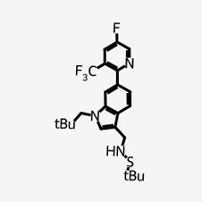 CC(C)(C)Cn1cc(CNSC(C)(C)C)c2ccc(-c3ncc(F)cc3C(F)(F)F)cc21